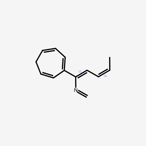 C=N/C(=C\C=C/C)C1=CC=CCC=C1